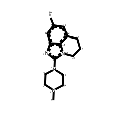 CN1CCN(c2nc3cc(F)cc4c3n2CCC4)CC1